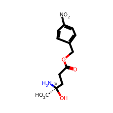 N[C@](O)(CCC(=O)OCc1ccc([N+](=O)[O-])cc1)C(=O)O